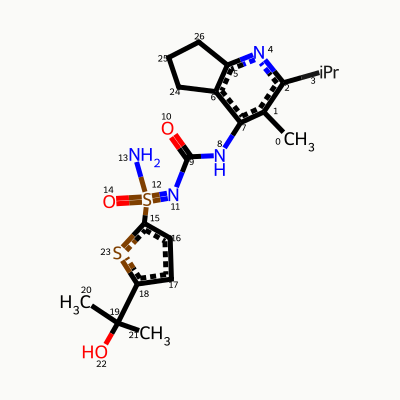 Cc1c(C(C)C)nc2c(c1NC(=O)N=S(N)(=O)c1ccc(C(C)(C)O)s1)CCC2